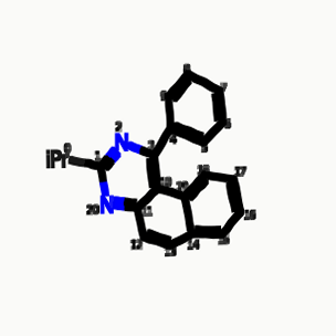 CC(C)c1nc(-c2ccccc2)c2c(ccc3ccccc32)n1